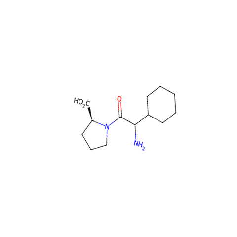 NC(C(=O)N1CCC[C@H]1C(=O)O)C1CCCCC1